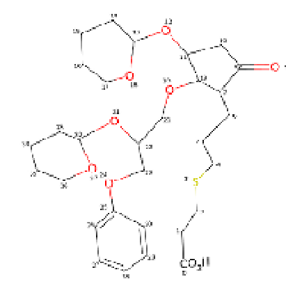 O=C(O)CCSCCCC1C(=O)CC(OC2CCCCO2)C1OCC(COc1ccccc1)OC1CCCCO1